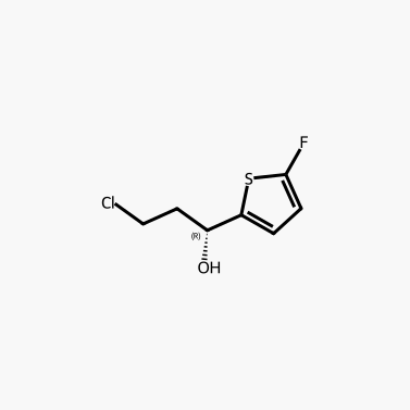 O[C@H](CCCl)c1ccc(F)s1